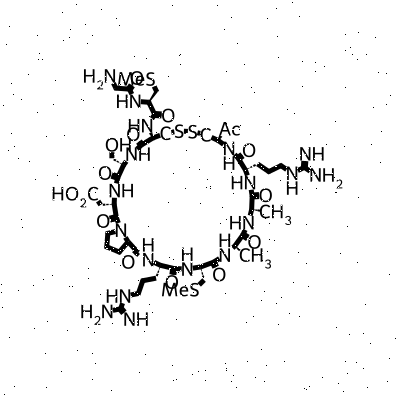 CSC[C@H](NC(=O)CN)C(=O)N[C@H]1CSSC[C@@H](C(C)=O)NC(=O)[C@H](CCCNC(=N)N)NC(=O)[C@H](C)NC(=O)[C@H](C)NC(=O)[C@H](CSC)NC(=O)[C@H](CCCNC(=N)N)NC(=O)C2CCCN2C(=O)[C@H](CC(=O)O)NC(=O)[C@H](CO)NC1=O